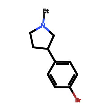 CCN1CCC(c2ccc(Br)cc2)C1